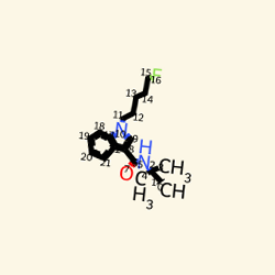 C#CC(C)(C)NC(=O)c1cn(CCCCCF)c2ccccc12